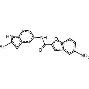 CC(=O)c1cc2cc(NC(=O)c3cc4cc([N+](=O)[O-])ccc4o3)ccc2[nH]1